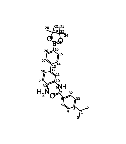 CC(C)c1ccc(C(=O)Nc2cc(-c3ccc(B4OC(C)(C)C(C)(C)O4)cc3)ccc2N)cc1